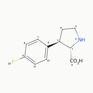 O=C(O)[C@H]1NCC[C@@H]1c1ccc(F)cc1